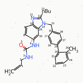 C=CCNC(=O)Nc1ccc2nc(CCCC)n(Cc3ccc(-c4ccccc4C)cc3)c2c1